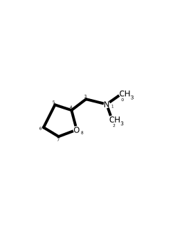 CN(C)CC1CCCO1